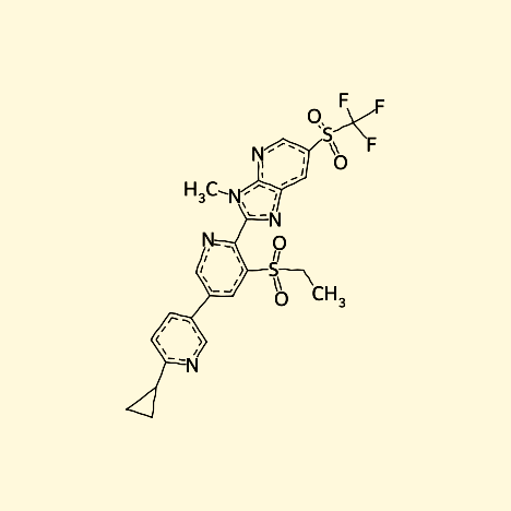 CCS(=O)(=O)c1cc(-c2ccc(C3CC3)nc2)cnc1-c1nc2cc(S(=O)(=O)C(F)(F)F)cnc2n1C